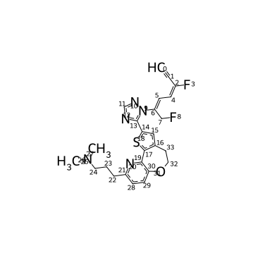 C#C/C(F)=C\C=C(/CF)n1ncnc1-c1cc2c(s1)-c1nc(CCCN(C)C)ccc1OCC2